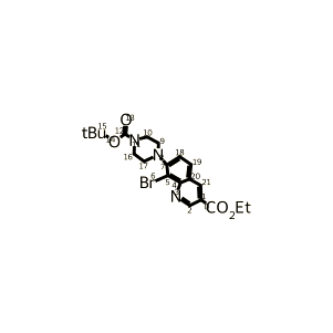 CCOC(=O)c1cnc2c(Br)c(N3CCN(C(=O)OC(C)(C)C)CC3)ccc2c1